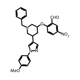 COc1ccc(-n2cc(C3CC(Oc4ccc([N+](=O)[O-])cc4C=O)CN(Cc4ccccc4)C3)cn2)cc1